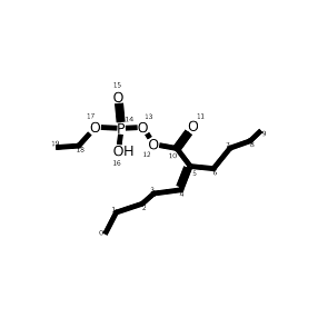 CCCCC=C(CCCC)C(=O)OOP(=O)(O)OCC